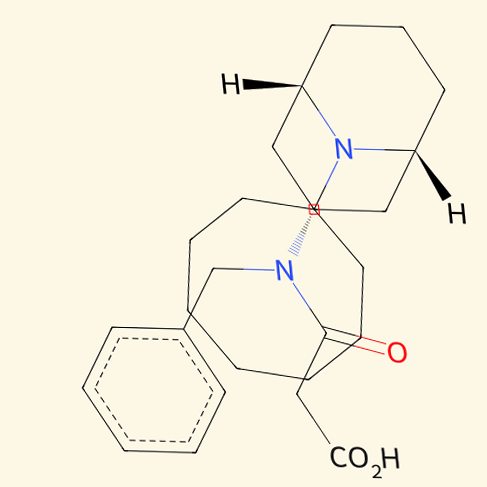 O=C(O)CC(=O)N(Cc1ccccc1)[C@H]1C[C@H]2CCC[C@@H](C1)N2C1CCCCCCC1